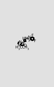 CC1(C)C(=O)N([C@H]2C[C@H](Nc3nc4c(F)cc(F)cc4s3)C2)c2nccnc21